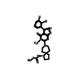 Cn1c(N2CCC3(CCC[C@H]3NC(=O)OC(C)(C)C)CC2)nc2n[nH]c(-c3cccc(Cl)c3Cl)c2c1=O